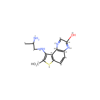 CC(N)CNc1c(C(=O)O)sc2ccc3nc(O)cnc3c12